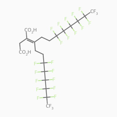 O=C(O)CC(C(=O)O)=C(CCC(F)(F)C(F)(F)C(F)(F)C(F)(F)C(F)(F)C(F)(F)F)CCC(F)(F)C(F)(F)C(F)(F)C(F)(F)C(F)(F)C(F)(F)F